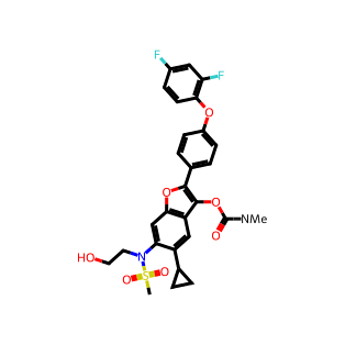 CNC(=O)Oc1c(-c2ccc(Oc3ccc(F)cc3F)cc2)oc2cc(N(CCO)S(C)(=O)=O)c(C3CC3)cc12